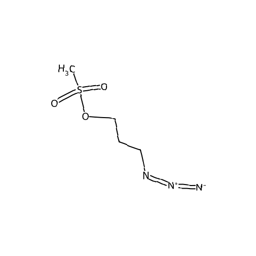 CS(=O)(=O)OCCCN=[N+]=[N-]